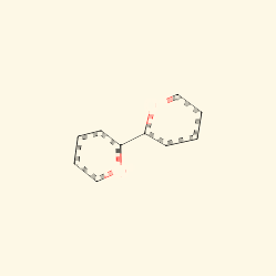 c1ccc(-c2cccc[o+]2)[o+]c1